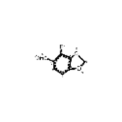 O=Cc1ccc2c(c1F)OCO2